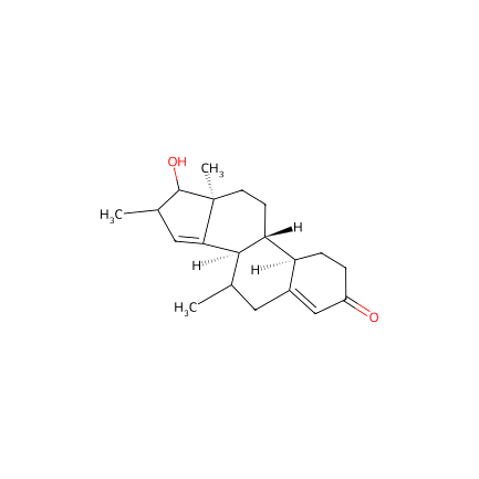 CC1C=C2[C@@H]3C(C)CC4=CC(=O)CC[C@@H]4[C@H]3CC[C@]2(C)C1O